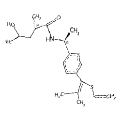 C=CSC(=C(C)C)c1ccc([C@H](C)NC(=O)[C@@H](C)CC(O)CC)cc1